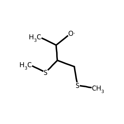 CSCC(SC)C(C)[O]